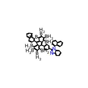 Bc1c(B)c(B)c2c(-c3ccc4ccccc4c3)c3c(B)c(B)c(B)c(B)c3c(-c3ccc(-c4nc5ccccc5n4-c4cccc5ccccc45)cc3)c2c1B